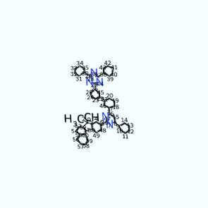 CC1(C)c2cc(-c3nc(-c4ccccc4)cc(-c4cccc(-c5cccc(-c6nc(-c7ccccc7)nc(-c7ccccc7)n6)c5)c4)n3)ccc2-c2c1ccc1ccccc21